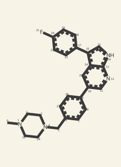 CN1CCN(Cc2ccc(-c3cnc4[nH]cc(-c5ccc(F)cc5)c4c3)cc2)CC1